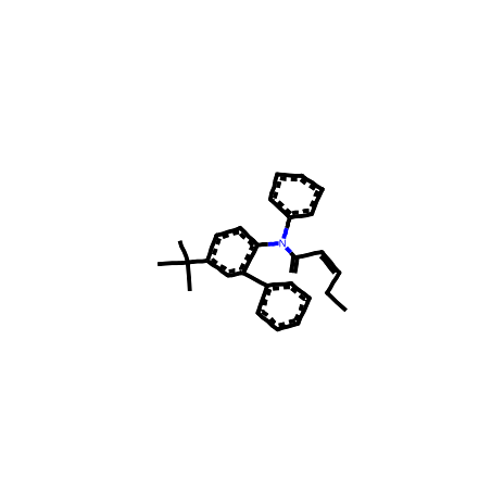 C=C(/C=C\CC)N(c1ccccc1)c1ccc(C(C)(C)C)cc1-c1ccccc1